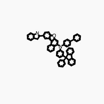 c1ccc(-c2ccc(N(c3cccc(C4(c5ccccc5)c5ccccc5-c5ccccc54)c3)c3cc4oc5ccc(C6=Nc7ccccc7C6)cc5c4c4ccccc34)cc2)cc1